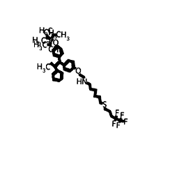 CCC(=C(c1ccc(OCCNCCCCCCSCCCC(F)(F)C(F)(F)F)cc1)c1ccc(O[Si](C(C)C)(C(C)C)C(C)C)cc1)c1ccccc1